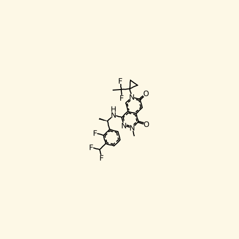 C[C@@H](Nc1nn(C)c(=O)c2cc(=O)n(C3(C(C)(F)F)CC3)cc12)c1cccc(C(F)F)c1F